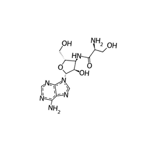 Nc1ncnc2c1ncn2[C@@H]1O[C@H](CO)[C@@H](NC(=O)[C@@H](N)CO)[C@H]1O